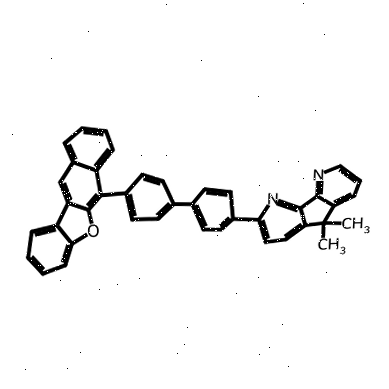 CC1(C)c2cccnc2-c2nc(-c3ccc(-c4ccc(-c5c6ccccc6cc6c5oc5ccccc56)cc4)cc3)ccc21